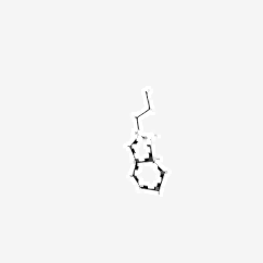 CCCn1cc2c[c]ccc2n1